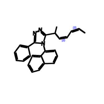 C/C=C\C=C/C(C)c1nnc(-c2ccccc2)n1-c1cccc2ccccc12